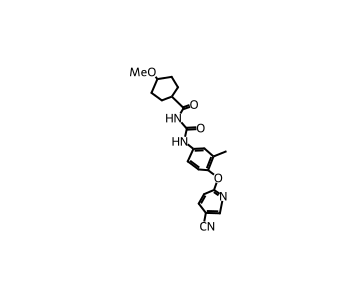 COC1CCC(C(=O)NC(=O)Nc2ccc(Oc3ccc(C#N)cn3)c(C)c2)CC1